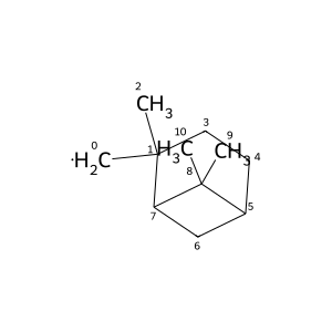 [CH2]C1(C)CCC2CC1C2(C)C